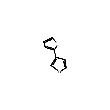 [c]1ccc(-c2ccoc2)o1